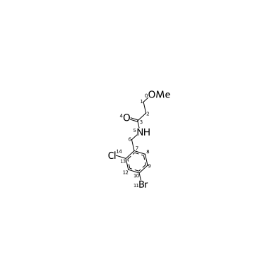 COCCC(=O)NCc1ccc(Br)cc1Cl